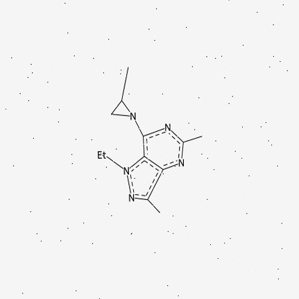 CCn1nc(C)c2nc(C)nc(N3CC3C)c21